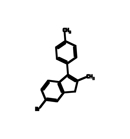 CC1=C(c2ccc(C)cc2)c2ccc(Br)cc2C1